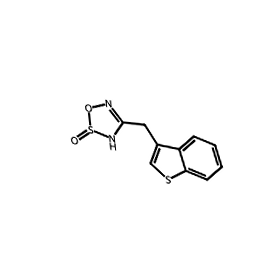 O=S1NC(Cc2csc3ccccc23)=NO1